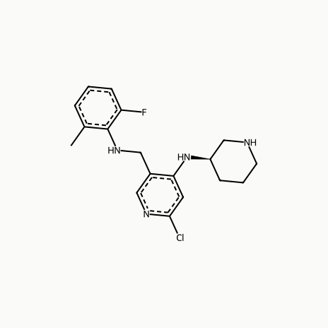 Cc1cccc(F)c1NCc1cnc(Cl)cc1N[C@@H]1CCCNC1